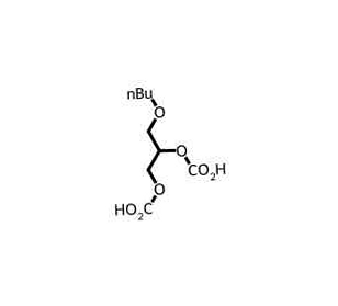 CCCCOCC(COC(=O)O)OC(=O)O